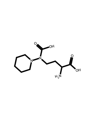 NC(CCN(C(=O)O)N1CCCCC1)C(=O)O